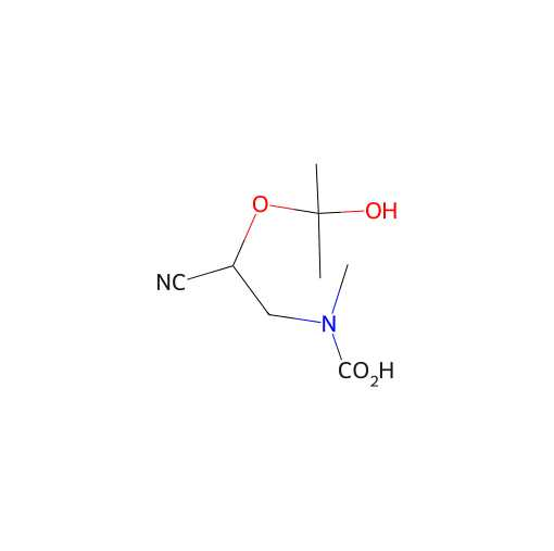 CN(CC(C#N)OC(C)(C)O)C(=O)O